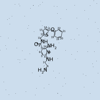 NCCNc1ccc(C(=O)NCc2ccc(Oc3ccccc3)s2)c(N)n1